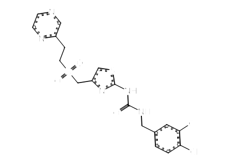 O=C(NCc1ccc(Cl)c(Cl)c1)Nc1nc(CS(=O)(=O)CCc2cnccn2)cs1